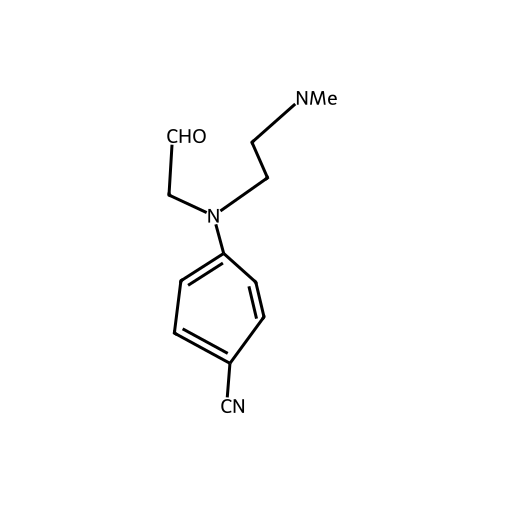 CNCCN(CC=O)c1ccc(C#N)cc1